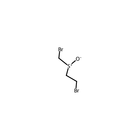 [O-][S+](CBr)CCBr